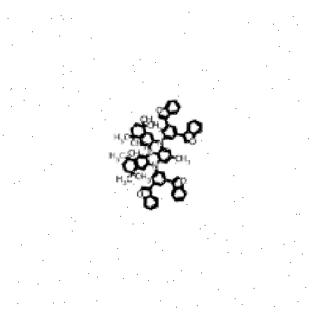 Cc1cc2c3c(c1)N(c1cc(-c4coc5ccccc45)cc(-c4coc5ccccc45)c1)c1cc4c(cc1B3c1cc3c(cc1N2c1cc(-c2coc5ccccc25)cc(-c2coc5ccccc25)c1)C(C)(C)CCC3(C)C)C(C)(C)CCC4(C)C